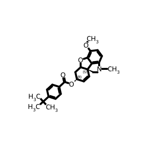 COc1ccc2c3c1OC1C[C@@H](OC(=O)c4ccc(C(C)(C)C)cc4)C=C[C@@]31CCN2C